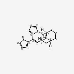 CN1[C@@H]2CCC[C@H]1C[C@@H](C=C(c1cccs1)c1cccs1)C2